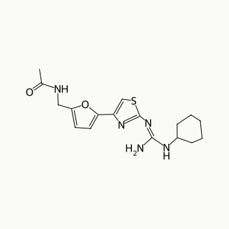 CC(=O)NCc1ccc(-c2csc(N=C(N)NC3CCCCC3)n2)o1